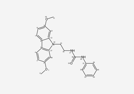 COc1ccc2c3ccc(OC)cc3n(CCNC(=O)Nc3ccccc3)c2c1